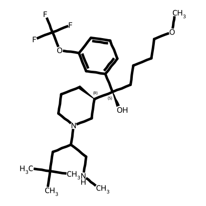 CNCC(CC(C)(C)C)N1CCC[C@@H]([C@@](O)(CCCCOC)c2cccc(OC(F)(F)F)c2)C1